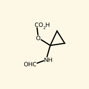 O=CNC1(OC(=O)O)CC1